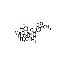 COc1c([C@H]2[C@H](C(=O)Nc3ccc([C@@H](C)O)nc3)OC(C)(C)[C@H]2C)ccc(F)c1F